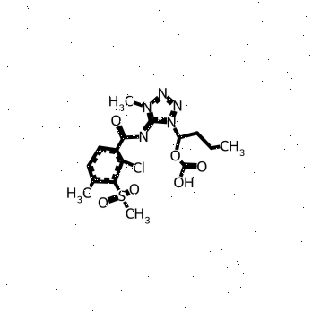 CCCC(OC(=O)O)n1nnn(C)c1=NC(=O)c1ccc(C)c(S(C)(=O)=O)c1Cl